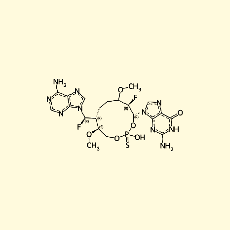 COC1CC[C@@H]([C@@H](F)n2cnc3c(N)ncnc32)[C@H](OC)COP(O)(=S)O[C@@H](n2cnc3c(=O)[nH]c(N)nc32)[C@@H]1F